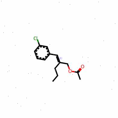 CCC/C(=C\c1cccc(Cl)c1)COC(C)=O